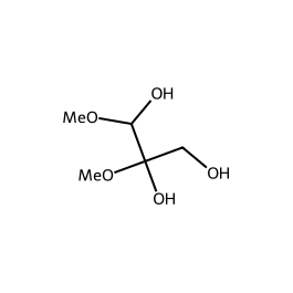 COC(O)C(O)(CO)OC